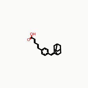 O=C(O)C=CC=Cc1ccc(C=C2C3CC4CC(C3)CC2C4)cc1